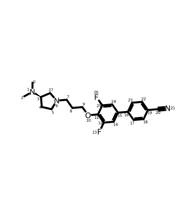 CN(C)[C@@H]1CCN(CCCOc2c(F)cc(-c3ccc(C#N)cc3)cc2F)C1